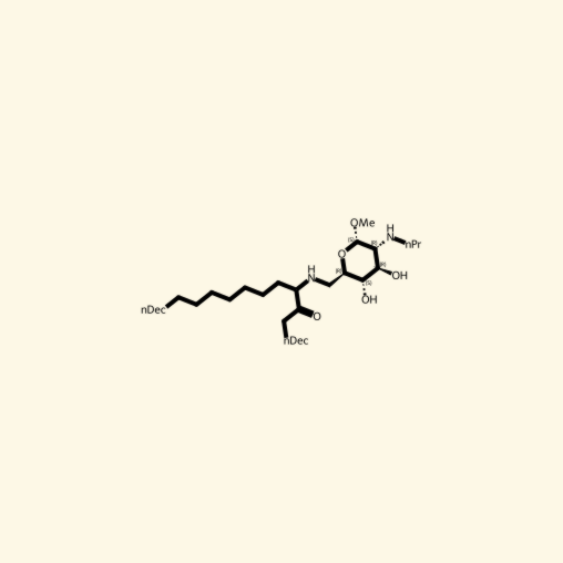 CCCCCCCCCCCCCCCCCC(NC[C@H]1O[C@H](OC)[C@H](NCCC)[C@@H](O)[C@@H]1O)C(=O)CCCCCCCCCCC